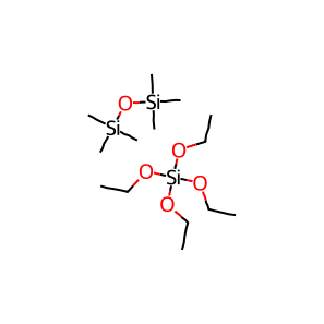 CCO[Si](OCC)(OCC)OCC.C[Si](C)(C)O[Si](C)(C)C